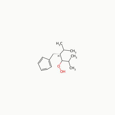 CC(C)C(OO)[C@H](Cc1ccccc1)C(C)C